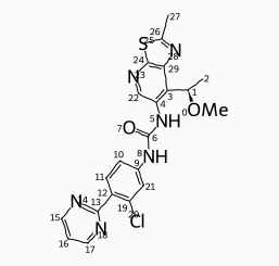 CO[C@H](C)c1c(NC(=O)Nc2ccc(-c3ncccn3)c(Cl)c2)cnc2sc(C)nc12